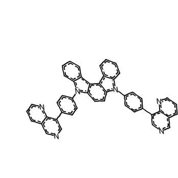 c1cnc2c(-c3ccc(-n4c5ccccc5c5c6c7ccccc7n(-c7ccc(-c8cncc9cccnc89)cc7)c6ccc54)cc3)cncc2c1